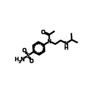 CC(=O)N(CCNC(C)C)c1ccc(S(N)(=O)=O)cc1